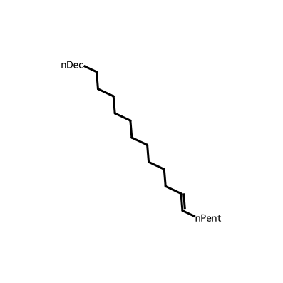 CCCCCC=CCCCCCCCCCCCCCCCCCCCC